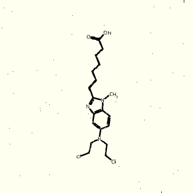 Cn1c(CCCCCCC(=O)O)nc2cc(N(CCCl)CCCl)ccc21